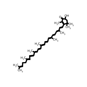 CC(C)=CCC/C(C)=C/C=C/C(C)=C/C=C/C(C)=C/C=C/C=C(C)/C=C/C=C(C)/C=C/C1=C(C)C(=O)C(O)CC1(C)C